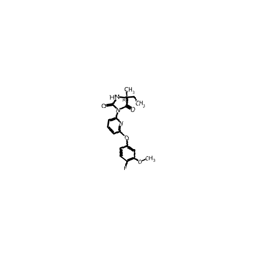 CC[C@@]1(C)NC(=O)N(c2cccc(Oc3ccc(F)c(OC)c3)n2)C1=O